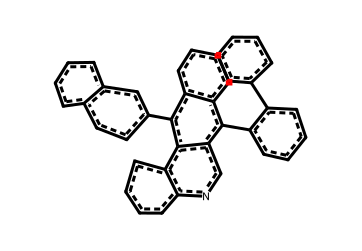 c1ccc(-c2ccccc2-c2c3ccccc3c(-c3ccc4ccccc4c3)c3c2cnc2ccccc23)cc1